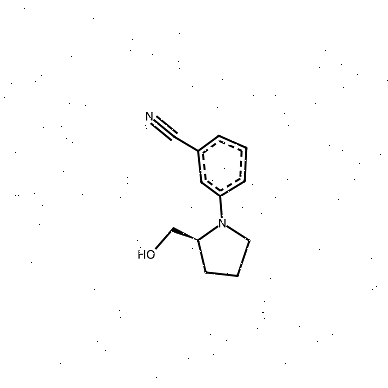 N#Cc1cccc(N2CCC[C@H]2CO)c1